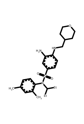 CCC(CC)N(c1ccc(C)cc1C)S(=O)(=O)c1ccc(NCC2CCOCC2)c(N)c1